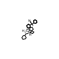 C[N+]1(CCC2CCCCC2)[C@H]2CCC23C[C@@H](CC(C#N)(c2ccccc2)c2ccccc2)C[C@@H]31